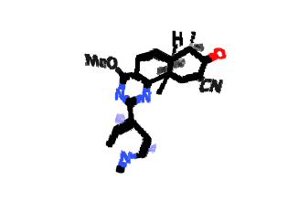 C=N/C=C\C(=C/C)c1nc(OC)c2c(n1)[C@@]1(C)C=C(C#N)C(=O)[C@@H](C)[C@@H]1CC2